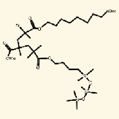 CCCCCCCCCCCCCCCCCCOC(=O)C(C)(CC)CC(C)(CC(C)(C)C(=O)OCCCC[Si](C)(C)O[Si](C)(C)O[Si](C)(C)C)C(=O)OC